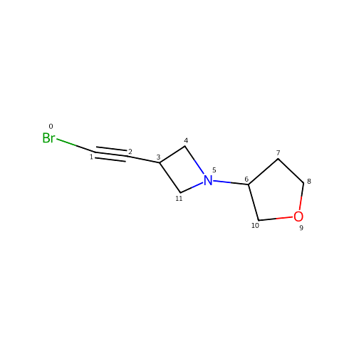 BrC#CC1CN(C2CCOC2)C1